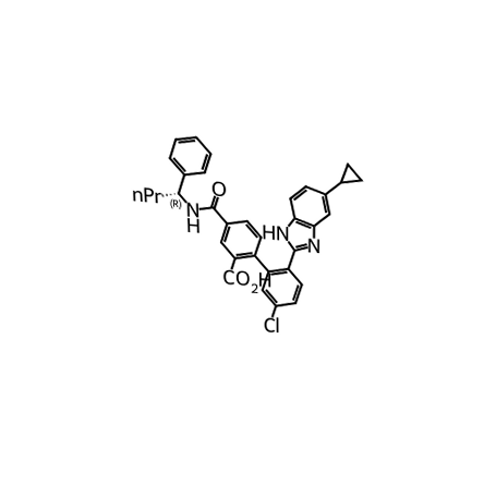 CCC[C@@H](NC(=O)c1ccc(-c2cc(Cl)ccc2-c2nc3cc(C4CC4)ccc3[nH]2)c(C(=O)O)c1)c1ccccc1